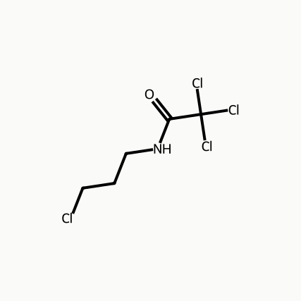 O=C(NCCCCl)C(Cl)(Cl)Cl